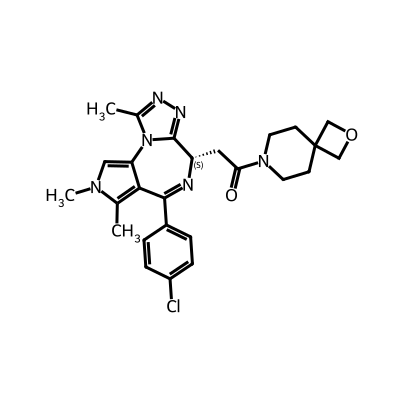 Cc1c2c(cn1C)-n1c(C)nnc1[C@H](CC(=O)N1CCC3(CC1)COC3)N=C2c1ccc(Cl)cc1